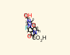 CC1CN(c2c(F)cc3c(=O)c(C(=O)O)cn4c3c2C(=O)CC4C)CCN1CCO